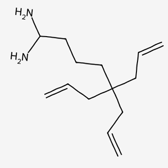 C=CCC(CC=C)(CC=C)CCCC(N)N